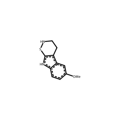 COc1ccc2[nH]c3c(c2c1)CCNS3